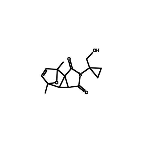 CC12C=CC(C)(O1)C13C(=O)N(C4(CO)CC4)C(=O)C1C23